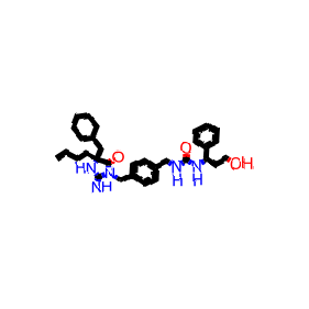 CCCCC1(CC2CCCCC2)NC(=N)N(Cc2ccc(CNC(=O)NC(CCO)c3ccccc3)cc2)C1=O